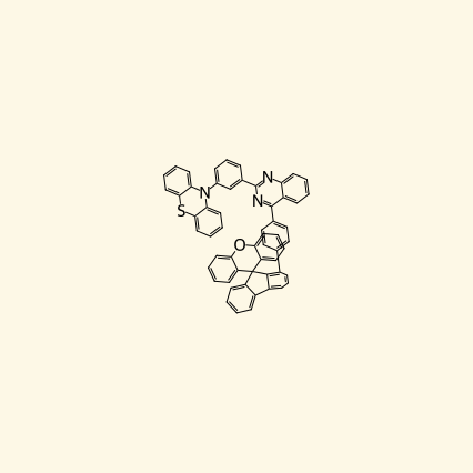 c1cc(-c2nc(-c3ccc(-c4cccc5c4C4(c6ccccc6Oc6ccccc64)c4ccccc4-5)cc3)c3ccccc3n2)cc(N2c3ccccc3Sc3ccccc32)c1